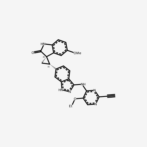 C#Cc1ncc(OCC)c(Nc2n[nH]c3cc([C@@H]4C[C@@]45C(=O)Nc4ccc(OC)cc45)ccc23)n1